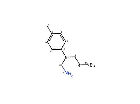 Cc1ccc(C(CN)CCC(C)(C)C)cc1